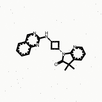 CC1(C)C(=O)N([C@H]2C[C@H](Nc3ncc4ccccc4n3)C2)c2ncccc21